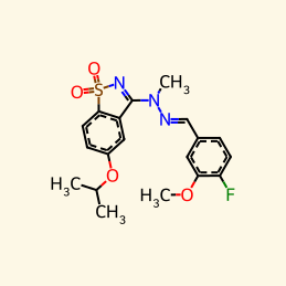 COc1cc(/C=N/N(C)C2=NS(=O)(=O)c3ccc(OC(C)C)cc32)ccc1F